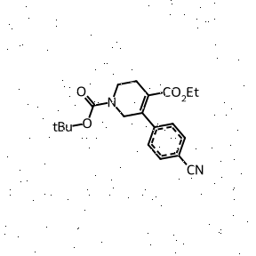 CCOC(=O)C1=C(c2ccc(C#N)cc2)CN(C(=O)OC(C)(C)C)CC1